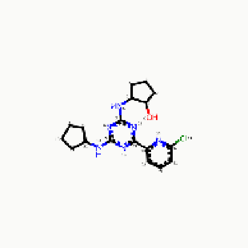 OC1CCCC1Nc1nc(NC2CCCC2)nc(-c2cccc(Cl)n2)n1